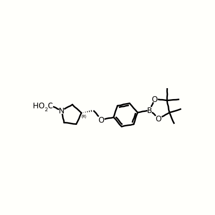 CC1(C)OB(c2ccc(OC[C@@H]3CCN(C(=O)O)C3)cc2)OC1(C)C